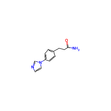 NC(=O)CCc1ccc(-n2ccnc2)cc1